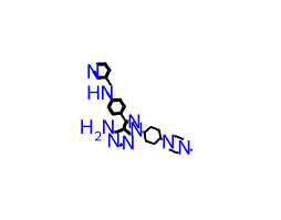 CN1CCN(C2CCC(n3nc(-c4ccc(NCc5cccnc5)cc4)c4c(N)ncnc43)CC2)CC1